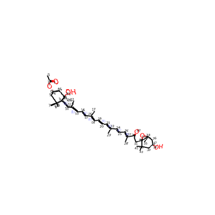 CC(=O)O[C@H]1CC(C)(C)/C(=C/C(C)=C/C=C/C(C)=C/C=C/C=C(C)/C=C/C=C(\C)C(=O)C[C@@]23O[C@]2(C)C[C@@H](O)CC3(C)C)[C@](C)(O)C1